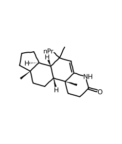 CCCC1(C)C=C2NC(=O)CC[C@]2(C)[C@@H]2CC[C@]3(C)CCC[C@H]3[C@@H]21